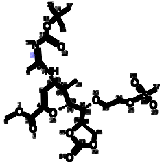 COC(=O)C1=C[C@H](N/C(C)=N\C(=O)OC(C)(C)C)[C@@H](C)[C@H]([C@H](OCCOS(C)(=O)=O)[C@H]2COC(=O)O2)O1